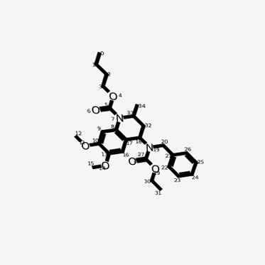 CCCCOC(=O)N1c2cc(OC)c(OC)cc2C(N(Cc2ccccc2)C(=O)OCC)CC1C